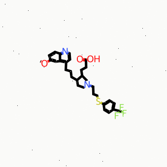 COc1ccc2nccc(CCCC3CCN(CCCSc4ccc(C(F)(F)F)cc4)CC3CCC(=O)O)c2c1